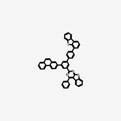 c1ccc(-c2nc(-c3cc(-c4ccc(-c5cccc6c5sc5ccccc56)cc4)cc(-c4ccc5c(ccc6ccccc65)c4)c3)nc3sc4ccccc4c23)cc1